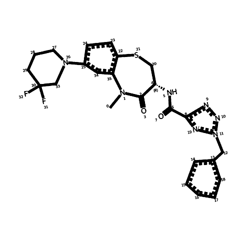 CN1C(=O)[C@@H](NC(=O)c2nnn(Cc3ccccc3)n2)CSc2ccc(N3CCCC(F)(F)C3)cc21